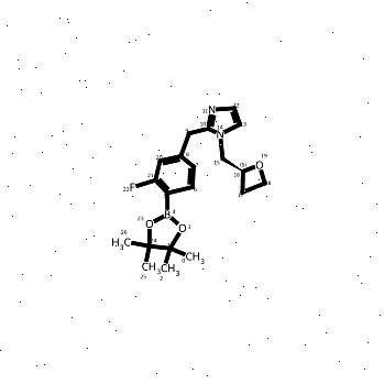 CC1(C)OB(c2ccc(Cc3nccn3C[C@@H]3CCO3)cc2F)OC1(C)C